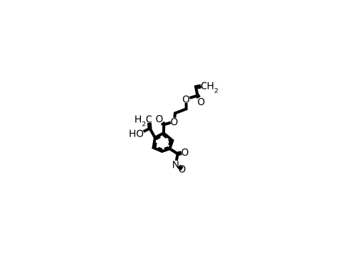 C=CC(=O)OCCOC(=O)c1cc(C(=O)N=O)ccc1C(=C)O